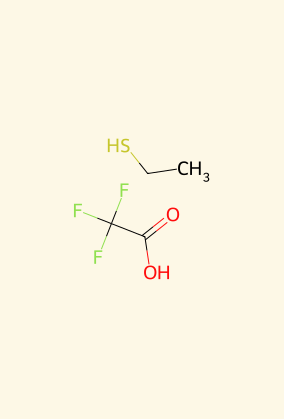 CCS.O=C(O)C(F)(F)F